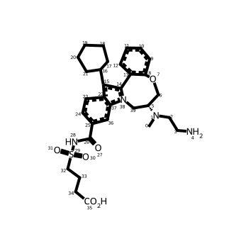 CN(CCN)[C@H]1COc2ccccc2-c2c(C3CCCCC3)c3ccc(C(=O)NS(=O)(=O)CCCC(=O)O)cc3n2C1